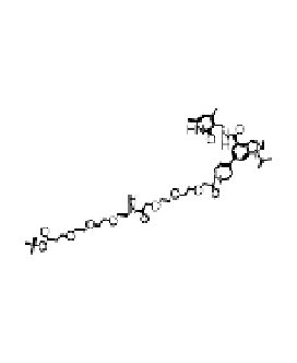 Cc1cc(C)c(CNC(=O)c2cc(C3=CCN(C(=O)COCCOCCOCC(=O)NCCOCCOCCOCCC(=O)OC(C)(C)C)CC3)cc3c2cnn3C(C)C)c(=O)[nH]1